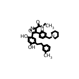 CCNC(=O)c1noc(-c2cc(CCc3cccc(C)c3)c(O)cc2O)c1-c1ccc(CN2CCCCC2)cc1